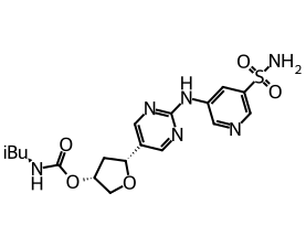 CC[C@H](C)NC(=O)O[C@H]1CO[C@@H](c2cnc(Nc3cncc(S(N)(=O)=O)c3)nc2)C1